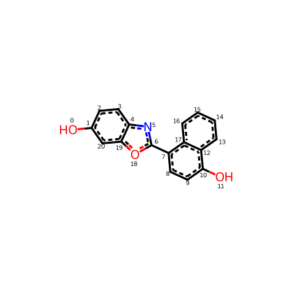 Oc1ccc2nc(-c3ccc(O)c4ccccc34)oc2c1